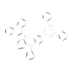 CC1(C)c2c(c3ccccc3c3ccccc23)-c2ccc3c4ccccc4n(-c4ccc(C5NC(c6ccccc6)NC(c6ccccc6)N5)cc4)c3c21